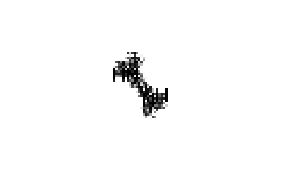 c1ccc(C(=NNc2ccc(-c3ccc(NN=C(c4ccccc4)c4ccccc4)cc3)cc2)c2ccccc2)cc1